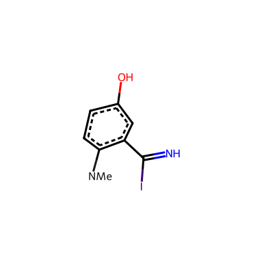 CNc1ccc(O)cc1C(=N)I